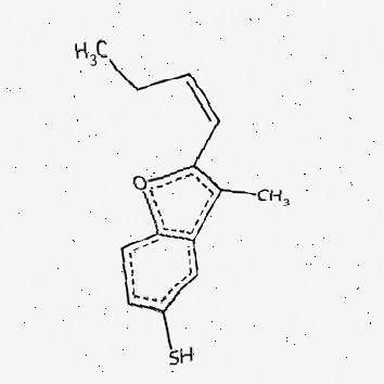 CC/C=C\c1oc2ccc(S)cc2c1C